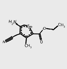 CCOC(=O)c1[se]c(N)c(C#N)c1C